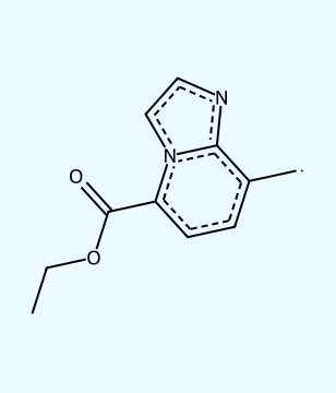 [CH2]c1ccc(C(=O)OCC)n2ccnc12